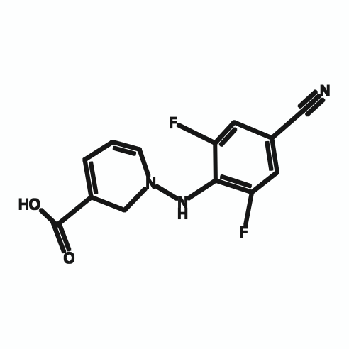 N#Cc1cc(F)c(NN2C=CC=C(C(=O)O)C2)c(F)c1